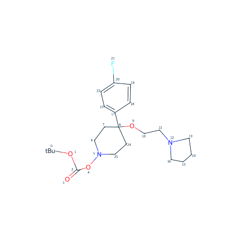 CC(C)(C)OC(=O)ON1CCC(OCCN2CCCC2)(c2ccc(F)cc2)CC1